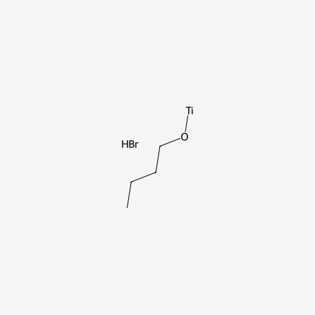 Br.CCCC[O][Ti]